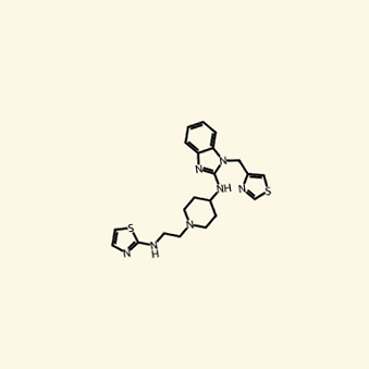 c1ccc2c(c1)nc(NC1CCN(CCNc3nccs3)CC1)n2Cc1cscn1